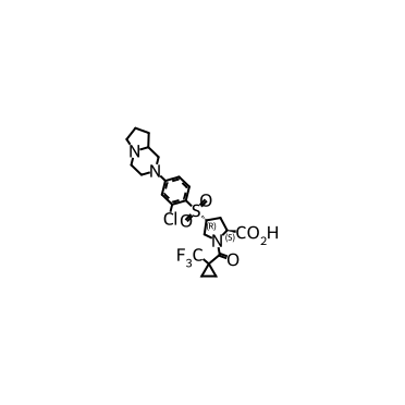 O=C(O)[C@@H]1C[C@@H](S(=O)(=O)c2ccc(N3CCN4CCCC4C3)cc2Cl)CN1C(=O)C1(C(F)(F)F)CC1